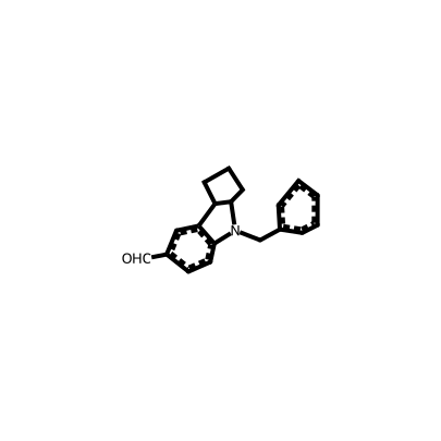 O=Cc1ccc2c(c1)C1CCCC1N2Cc1ccccc1